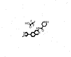 Cn1cc(-c2ccc3cnc(NC(=O)C4CCNCC4)cc3c2)cn1.O=C(O)C(F)(F)F